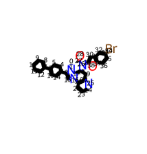 Cn1c(-c2ccc(-c3ccccc3)cc2)cnc1C(Cc1ccccn1)N(C=O)c1cc2cc(Br)ccc2o1